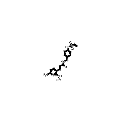 C=CS(=O)(=O)Nc1ccc(CNC(=O)C=Cc2ccc(C(F)(F)F)nc2NC(C)C)cc1